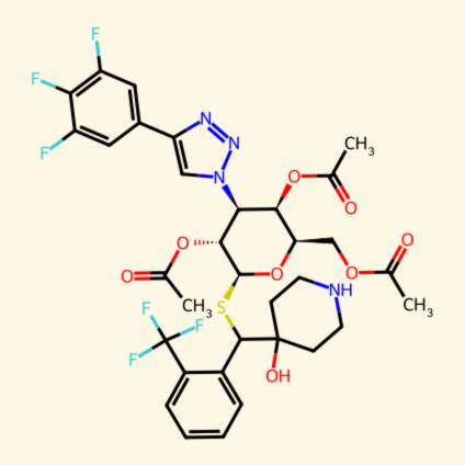 CC(=O)OC[C@H]1O[C@@H](SC(c2ccccc2C(F)(F)F)C2(O)CCNCC2)[C@H](OC(C)=O)[C@@H](n2cc(-c3cc(F)c(F)c(F)c3)nn2)[C@H]1OC(C)=O